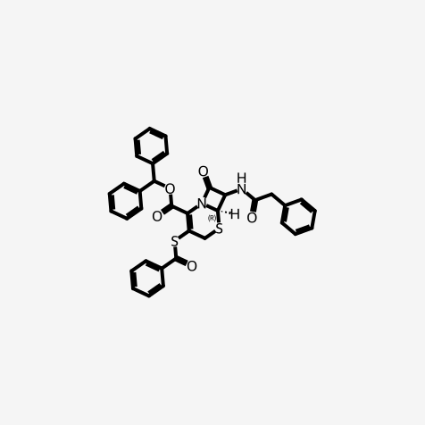 O=C(Cc1ccccc1)NC1C(=O)N2C(C(=O)OC(c3ccccc3)c3ccccc3)=C(SC(=O)c3ccccc3)CS[C@H]12